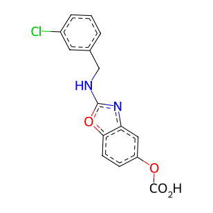 O=C(O)Oc1ccc2oc(NCc3cccc(Cl)c3)nc2c1